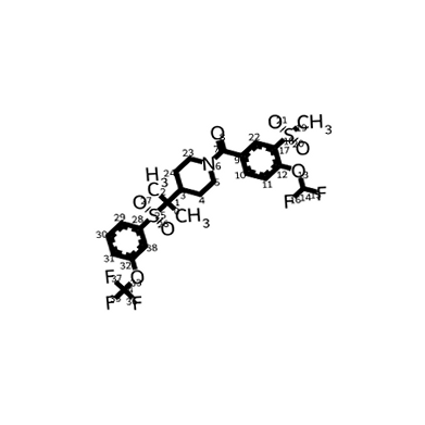 CC(C)(C1CCN(C(=O)c2ccc(OC(F)F)c(S(C)(=O)=O)c2)CC1)S(=O)(=O)c1cccc(OC(F)(F)F)c1